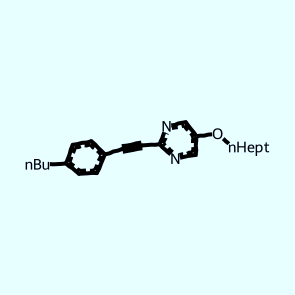 CCCCCCCOc1cnc(C#Cc2ccc(CCCC)cc2)nc1